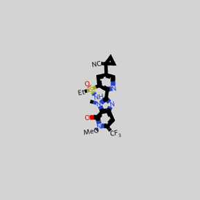 CCS(=N)(=O)c1cc(C2(C#N)CC2)cnc1-c1nc2cc(C(F)(F)F)n(OC)c(=O)c2n1C